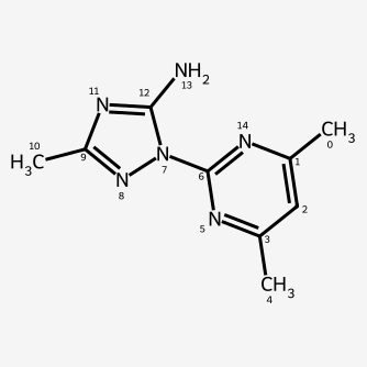 Cc1cc(C)nc(-n2nc(C)nc2N)n1